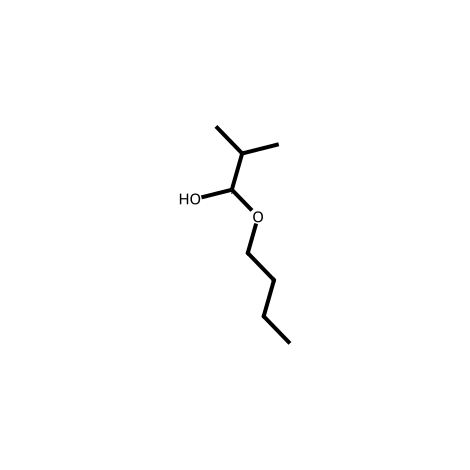 CCCCO[C](O)C(C)C